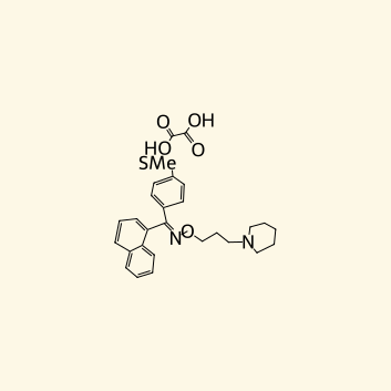 CSc1ccc(C(=NOCCCN2CCCCC2)c2cccc3ccccc23)cc1.O=C(O)C(=O)O